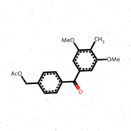 COc1cc(C(=O)c2[c]cc(COC(C)=O)cc2)cc(OC)c1C